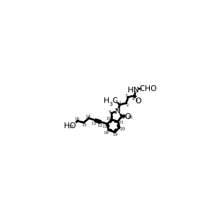 CC(CCC(=O)NC=O)N1Cc2c(C#CCCCO)cccc2C1=O